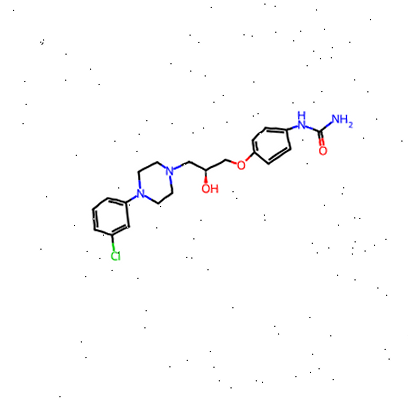 NC(=O)Nc1ccc(OC[C@@H](O)CN2CCN(c3cccc(Cl)c3)CC2)cc1